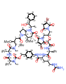 CCC(C)[C@@H](C(CC(=O)N1CCC[C@H]1[C@H](OC)[C@@H](C)C(=O)N[C@H](C)[C@@H](O)c1ccccc1)OC)N(C)C(=O)[C@@H](NC(=O)[C@H](C(C)C)N(C)C(=O)OCc1ccc(NC(=O)[C@H](CCCNC(N)=O)NC(=O)[C@@H](NC(=O)COC(CN2C(=O)C=C(Br)C2=O)CN2C(=O)C=C(Br)C2=O)C(C)C)cc1)C(C)C